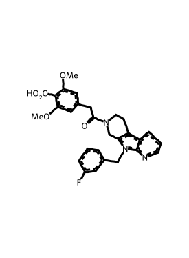 COc1cc(CC(=O)N2CCc3c(n(Cc4cccc(F)c4)c4ncccc34)C2)cc(OC)c1C(=O)O